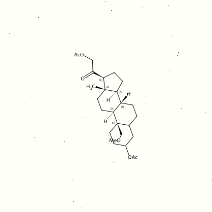 COC[C@]12CCC(OC(C)=O)CC1CC[C@@H]1[C@@H]2CC[C@]2(C)[C@@H](C(=O)COC(C)=O)CC[C@@H]12